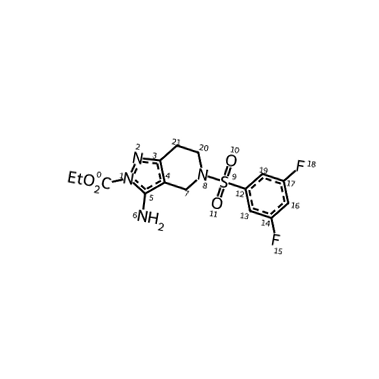 CCOC(=O)n1nc2c(c1N)CN(S(=O)(=O)c1cc(F)cc(F)c1)CC2